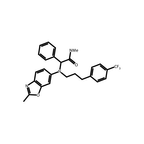 CNC(=O)C(c1ccccc1)N(CCCc1ccc(C(F)(F)F)cc1)c1ccc2nc(C)oc2c1